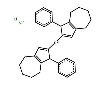 C1=[C]([Zr+2][C]2=CC3=C(CCCCC3)C2c2ccccc2)C(c2ccccc2)C2=C1CCCCC2.[Cl-].[Cl-]